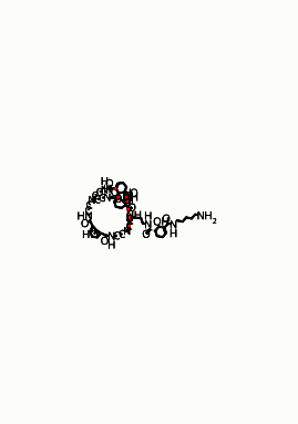 NCCCCCNC(=O)C1=CCC[C@H](C(=O)NCCN2CCNC(=O)[C@@H]3CCC=C(C(=O)NCCN4CCNC(=O)C5=CCCC(=C5O)C(=O)NCCN(CCNC(=O)[C@H]5CCC=C(C(=O)NCC4)C5O)CC2)C3O)C1O